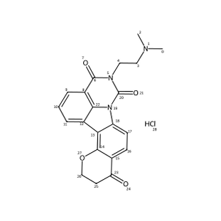 CN(C)CCn1c(=O)c2cccc3c4c5c(ccc4n(c1=O)c23)C(=O)CCO5.Cl